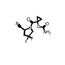 N#CC1CC(F)(F)CN1C(=O)C1(OC(N)=O)CC1